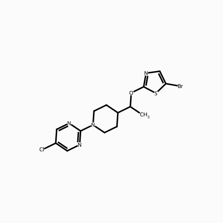 CC(Oc1ncc(Br)s1)C1CCN(c2ncc(Cl)cn2)CC1